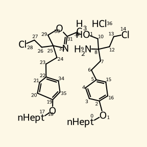 CCCCCCCOc1ccc(CCC(N)(CO)CCCl)cc1.CCCCCCCOc1ccc(CCC2(CCCl)COC(C)=N2)cc1.Cl